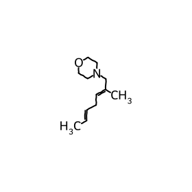 CC=CCC=C(C)CN1CCOCC1